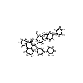 Brc1c(N(c2cccc(-c3ccccc3)c2)c2cc3ccccc3c3ccccc23)cc2c(oc3cc(-c4ccccc4)ccc32)c1I